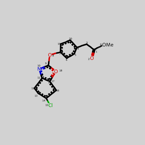 COC(=O)Cc1ccc(Oc2nc3ccc(Cl)cc3o2)cc1